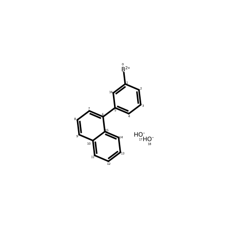 [B+2]c1cccc(-c2cccc3ccccc23)c1.[OH-].[OH-]